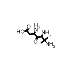 CC(C)(N)C(N)C(=O)C(N)CC(=O)O